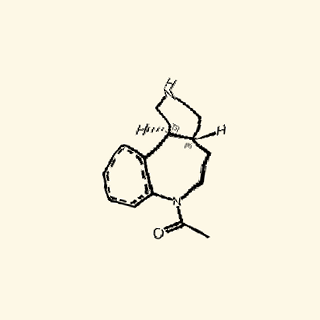 CC(=O)N1CC[C@H]2CNC[C@@H]2c2ccccc21